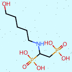 O=P(O)(O)CC(NCCCCCO)P(=O)(O)O